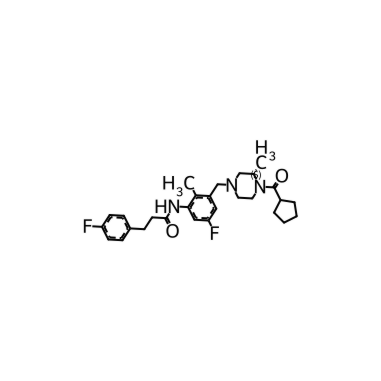 Cc1c(CN2CCN(C(=O)C3CCCC3)[C@@H](C)C2)cc(F)cc1NC(=O)CCc1ccc(F)cc1